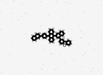 c1ccc2cc(-c3ccc(-c4c5ccccc5c(-c5cc(-c6ccc7oc8ccccc8c7c6)c6ccccc6c5)c5ccccc45)cc3)ccc2c1